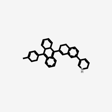 CC1=CC=C(C2=c3ccccc3=C(C3=Cc4cc(C5=CNCC=C5)ccc4CC3)C3C=CC=CC23)CC1